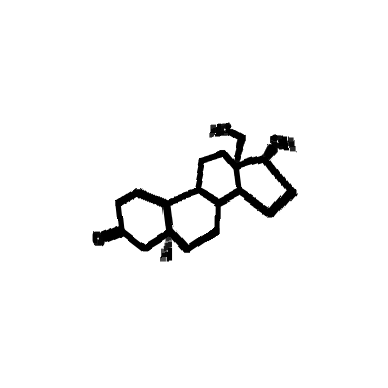 O=C1CCC2C3CC[C@@]4(CO)C(CC[C@@H]4O)C3CC[C@H]2C1